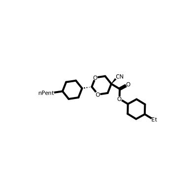 CCCCCC1CCC([C@H]2OC[C@@](C#N)(C(=O)OC3CCC(CC)CC3)CO2)CC1